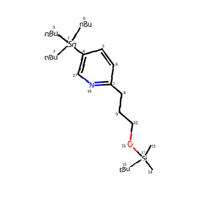 CCC[CH2][Sn]([CH2]CCC)([CH2]CCC)[c]1ccc(CCCO[Si](C)(C)C(C)(C)C)nc1